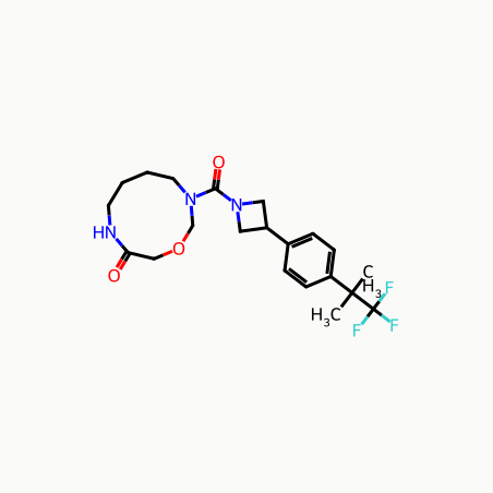 CC(C)(c1ccc(C2CN(C(=O)N3CCCCNC(=O)COC3)C2)cc1)C(F)(F)F